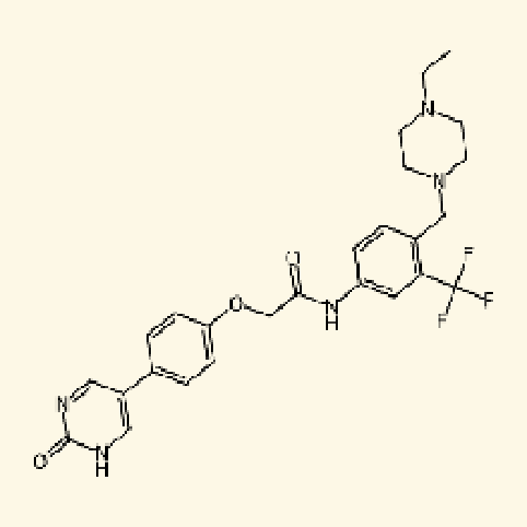 CCN1CCN(Cc2ccc(NC(=O)COc3ccc(-c4cnc(=O)[nH]c4)cc3)cc2C(F)(F)F)CC1